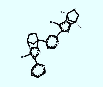 Brc1c(-c2ccccn2)nc2n1C1CCC2(c2ccnc(-c3nc4n(c3Br)[C@H]3CC[C@@H]4C3)c2)C1